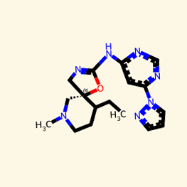 CCC1CCN(C)C[C@@]12CN=C(Nc1cc(-n3cccn3)ncn1)O2